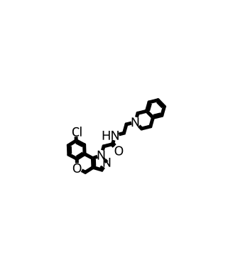 O=C(Cn1ncc2c1-c1cc(Cl)ccc1OC2)NCCN1CCc2ccccc2C1